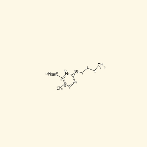 CCCCSc1ccc(Cl)c(C#N)n1